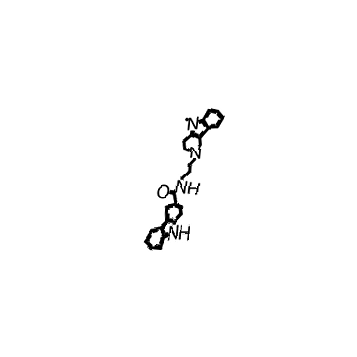 Cn1c2c(c3ccccc31)CN(CCCCNC(=O)c1ccc3[nH]c4ccccc4c3c1)CC2